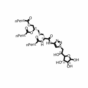 CCCCCC(=O)N[C@H](CSC[C@@H](COC(=O)CCCCC)OC(=O)CCCCC)C(=O)Nc1cn(C[C@H](O)C2OC(O)[C@@H](O)[C@@H]2O)nn1